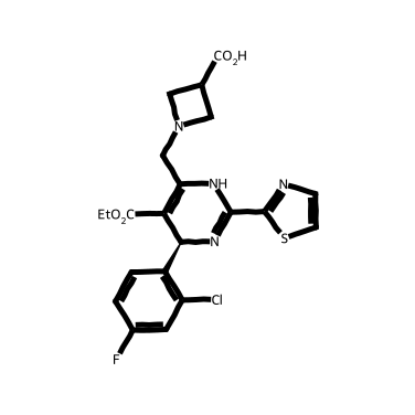 CCOC(=O)C1=C(CN2CC(C(=O)O)C2)NC(c2nccs2)=N[C@H]1c1ccc(F)cc1Cl